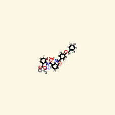 COC(=O)c1cccc(O)c1NC(=O)c1cccc2oc(-c3ccc(OCc4ccccc4)cc3)nc12